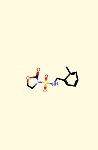 Cc1ccccc1CNS(=O)(=O)N1CCOC1=O